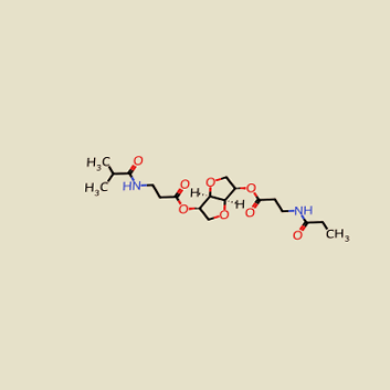 CCC(=O)NCCC(=O)O[C@@H]1CO[C@H]2[C@@H]1OC[C@H]2OC(=O)CCNC(=O)C(C)C